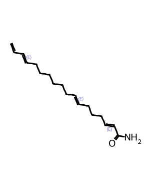 C=C/C=C/CCCCCC/C=C/CCC/C=C/C(N)=O